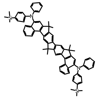 CC1(C)c2cc3c(cc2-c2cc4c(cc21)-c1c(cc(N(c2ccccc2)c2ccc([Si](C)(C)C)cc2)c2ccccc12)C4(C)C)C(C)(C)c1cc(N(c2ccccc2)c2ccc([Si](C)(C)C)cc2)c2ccccc2c1-3